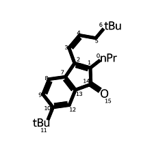 CCCC1=C(/C=C\CC(C)(C)C)c2ccc(C(C)(C)C)cc2C1=O